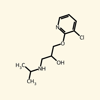 CC(C)NCC(O)COc1ncccc1Cl